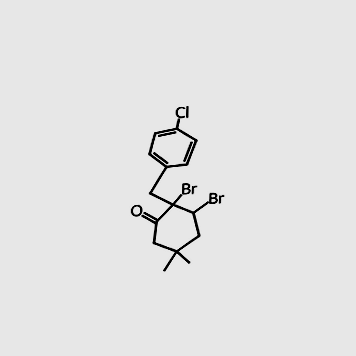 CC1(C)CC(=O)C(Br)(Cc2ccc(Cl)cc2)C(Br)C1